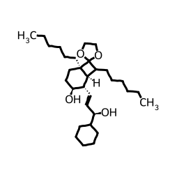 CCCCCCC1[C@H]2[C@H](/C=C/[C@@H](O)C3CCCCC3)[C@@H](O)CC[C@@]2(CCCCCC)C12OCCO2